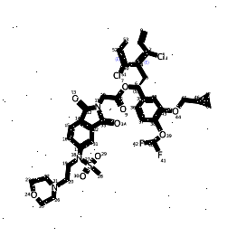 C=C/C(Cl)=C(C[C@H](OC(=O)CN1C(=O)c2ccc(N(CCN3CCOCC3)S(C)(=O)=O)cc2C1=O)c1ccc(OC(F)F)c(OCC2CC2)c1)\C(Cl)=C/C